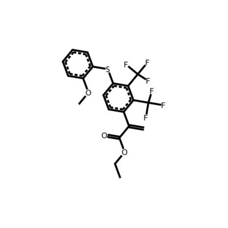 C=C(C(=O)OCC)c1ccc(Sc2ccccc2OC)c(C(F)(F)F)c1C(F)(F)F